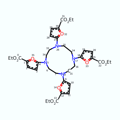 CCOC(=O)c1ccc(N2CCN(c3ccc(C(=O)OCC)o3)CCN(c3ccc(C(=O)OCC)o3)CCN(c3ccc(C(=O)OCC)o3)CC2)o1